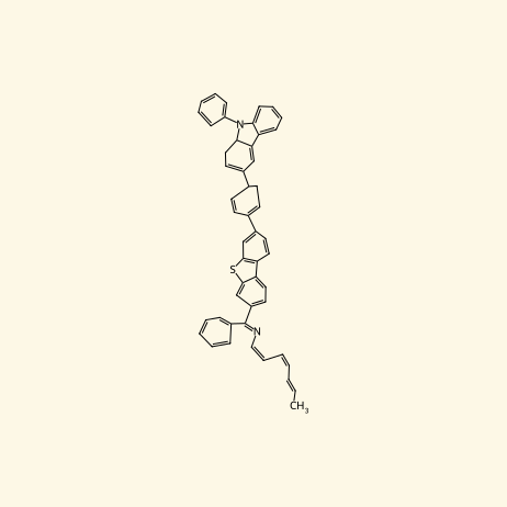 C/C=C/C=C\C=C/N=C(\c1ccccc1)c1ccc2c(c1)sc1cc(C3=CCC(C4=CCC5C(=C4)c4ccccc4N5c4ccccc4)C=C3)ccc12